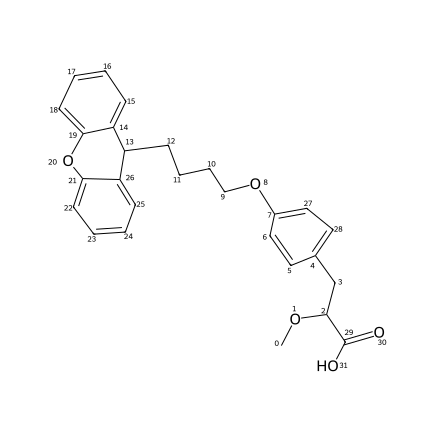 COC(Cc1ccc(OCCCCC2c3ccccc3Oc3ccccc32)cc1)C(=O)O